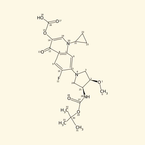 CO[C@@H]1CN(c2cc3c(cc2F)c(=O)c(OC(=O)O)cn3C2CC2)C[C@@H]1NC(=O)OC(C)(C)C